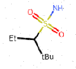 CCC(C(C)(C)C)S([NH])(=O)=O